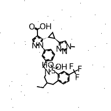 CCC1Cc2ccc(C(F)(F)F)cc2S(O)(O)N(Cc2cccc(-n3ncc(C(=O)O)c3[C@@H]3C[C@H]3c3cn(C)nn3)c2)C1